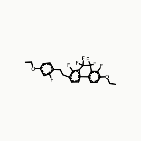 CCOc1ccc(CCc2ccc3c(c2F)C(F)(F)C(F)(F)c2c-3ccc(OCC)c2F)c(F)c1